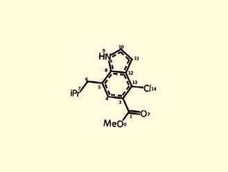 COC(=O)c1cc(CC(C)C)c2[nH]ccc2c1Cl